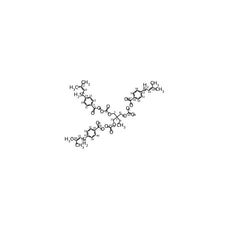 CCC(COC(=O)OOC(=O)c1ccc([SiH2]C=C(C)C)cc1)(COC(=O)OOC(=O)c1ccc([SiH2]C=C(C)C)cc1)COC(=O)OOC(=O)c1ccc([SiH2]C=C(C)C)cc1